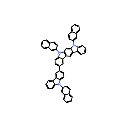 c1ccc2cc(-n3c4ccccc4c4cc(-c5ccc6c(c5)c5cc7c8ccccc8n(-c8ccc9ccccc9c8)c7cc5n6-c5ccc6ccccc6c5)ccc43)ccc2c1